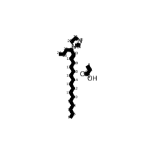 C=CC(=O)O.CCCCCCCCCCCCCCC=CC(CCC)N1C=NCC1